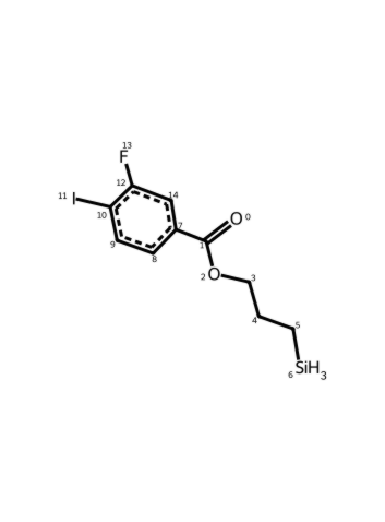 O=C(OCCC[SiH3])c1ccc(I)c(F)c1